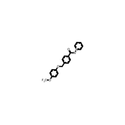 O=C([N-][n+]1ccccc1)c1ccc(COc2ccc(OC(F)(F)F)cc2)cc1